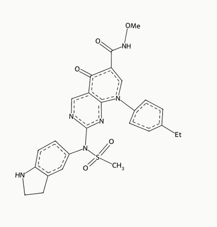 CCc1ccc(-n2cc(C(=O)NOC)c(=O)c3cnc(N(c4ccc5c(c4)CCN5)S(C)(=O)=O)nc32)cc1